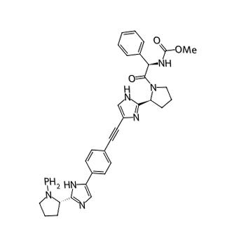 COC(=O)N[C@@H](C(=O)N1CCC[C@H]1c1nc(C#Cc2ccc(-c3cnc([C@@H]4CCCN4P)[nH]3)cc2)c[nH]1)c1ccccc1